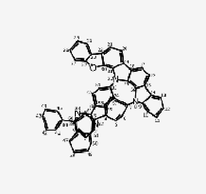 c1ccc(-c2ccc(-n3c4ccccc4c4ccc5c6ccc7c8ccccc8oc7c6n(-c6ccc(-c7nc(-c8ccccc8)c8ccccc8n7)cc6)c5c43)cc2)cc1